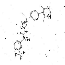 Cc1ncnc(C)c1-c1ccc(C(C)[n+]2cc([N-]C(=O)Nc3ccnc(C(F)(F)F)c3)on2)cc1